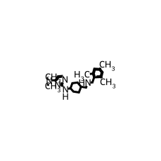 Cc1cc(C)c(CNCC2CCC(Nc3nccc(N(C)C)n3)CC2)c(C)c1